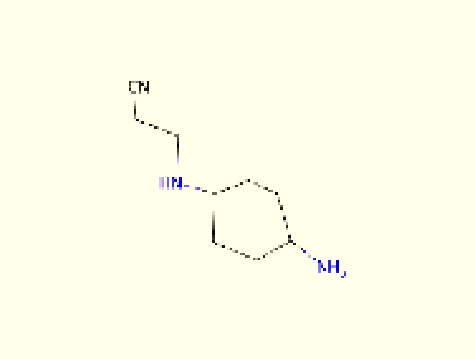 N#CCCNC1CCC(N)CC1